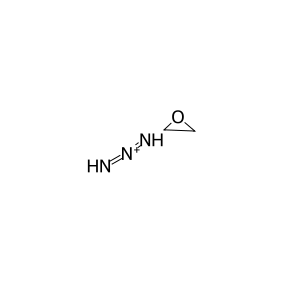 C1CO1.N=[N+]=N